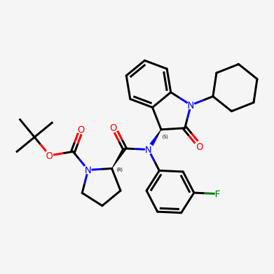 CC(C)(C)OC(=O)N1CCC[C@@H]1C(=O)N(c1cccc(F)c1)[C@@H]1C(=O)N(C2CCCCC2)c2ccccc21